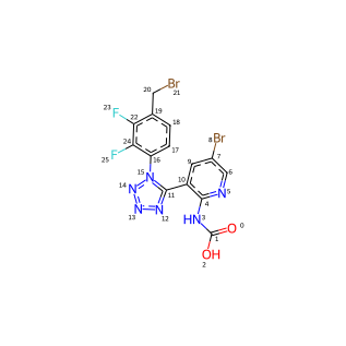 O=C(O)Nc1ncc(Br)cc1-c1nnnn1-c1ccc(CBr)c(F)c1F